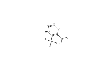 CC(C)C1=C(C(C)(C)C)NC=CC1